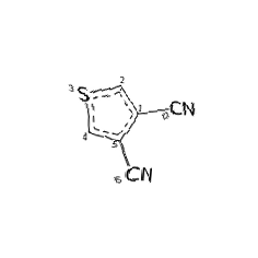 N#Cc1[c]scc1C#N